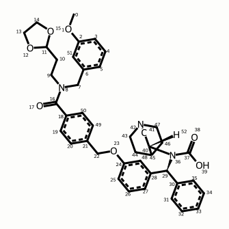 COc1cccc(CN(CCC2OCCO2)C(=O)c2ccc(COc3cccc([C@H](c4ccccc4)N(C(=O)O)[C@H]4CN5CCC4CC5)c3)cc2)c1